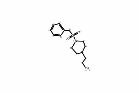 CCCC1CCN(S(=O)(=O)Cc2ccccc2)CC1